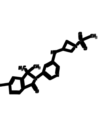 CC1(C)c2cc(Cl)ccc2C(=O)N1c1cncc(NC2CN(S(C)(=O)=O)C2)c1